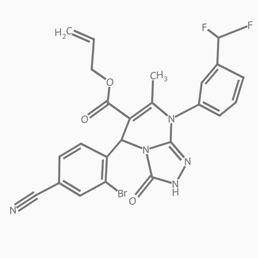 C=CCOC(=O)C1=C(C)N(c2cccc(C(F)F)c2)c2n[nH]c(=O)n2C1c1ccc(C#N)cc1Br